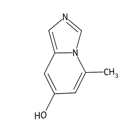 Cc1cc(O)cc2cncn12